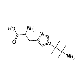 CC(C)(N)C(C)(C)n1cnc(CC(N)C(=O)O)c1